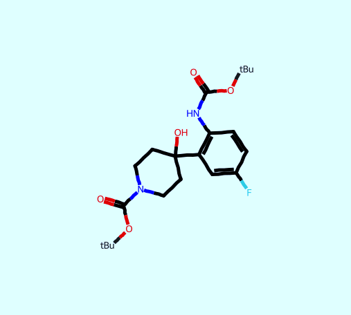 CC(C)(C)OC(=O)Nc1ccc(F)cc1C1(O)CCN(C(=O)OC(C)(C)C)CC1